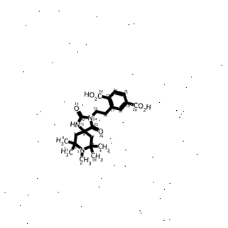 CN1C(C)(C)CC2(CC1(C)C)NC(=O)N(CCc1cc(C(=O)O)ccc1C(=O)O)C2=O